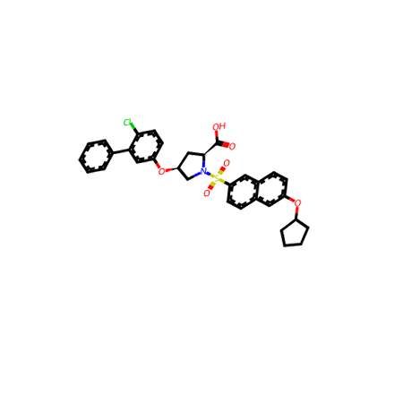 O=C(O)[C@@H]1C[C@H](Oc2ccc(Cl)c(-c3ccccc3)c2)CN1S(=O)(=O)c1ccc2cc(OC3CCCC3)ccc2c1